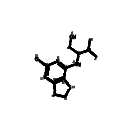 CC(C)C(CO)Nc1nc(Cl)nc2c1SCC2